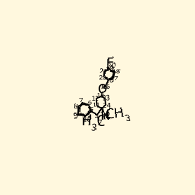 CN(C)C1(Cc2ccccc2)CCC(OCc2ccc(F)cc2)CC1